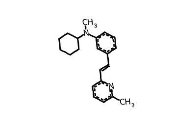 Cc1cccc(C=Cc2cccc(N(C)C3CCCCC3)c2)n1